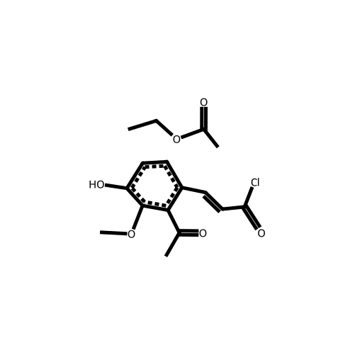 CCOC(C)=O.COc1c(O)ccc(C=CC(=O)Cl)c1C(C)=O